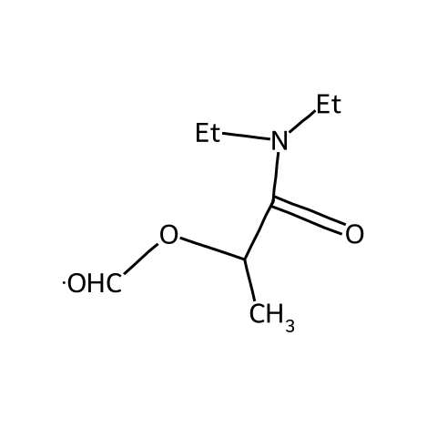 CCN(CC)C(=O)C(C)O[C]=O